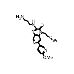 CCCOCCn1c(=O)c(NCCCN)nc2cnc(-c3ccc(OC)nc3)cc21